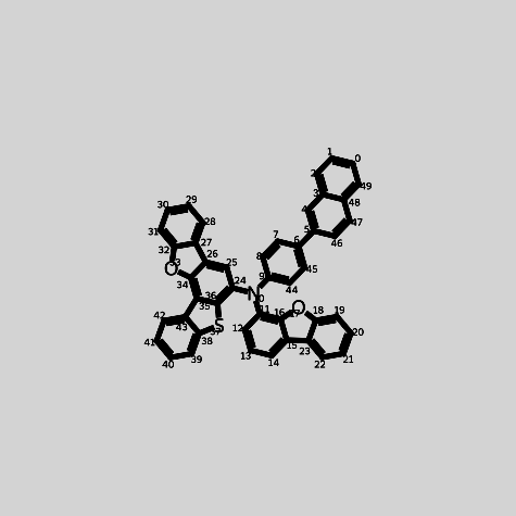 c1ccc2cc(-c3ccc(N(c4cccc5c4oc4ccccc45)c4cc5c6ccccc6oc5c5c4sc4ccccc45)cc3)ccc2c1